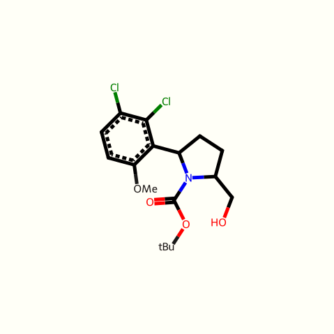 COc1ccc(Cl)c(Cl)c1C1CCC(CO)N1C(=O)OC(C)(C)C